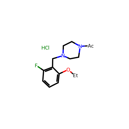 CCOc1cccc(F)c1CN1CCN(C(C)=O)CC1.Cl